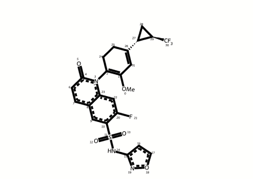 COC1=C(n2c(=O)ccc3cc(S(=O)(=O)Nc4ccon4)c(F)cc32)CCC([C@@H]2C[C@H]2C(F)(F)F)=C1